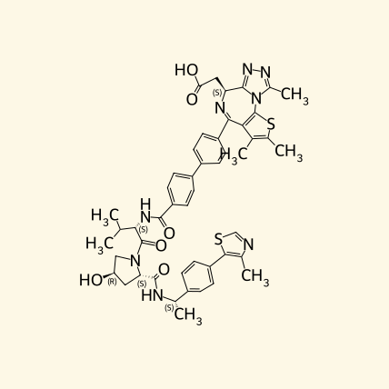 Cc1ncsc1-c1ccc([C@H](C)NC(=O)[C@@H]2C[C@@H](O)CN2C(=O)[C@@H](NC(=O)c2ccc(-c3ccc(C4=N[C@@H](CC(=O)O)c5nnc(C)n5-c5sc(C)c(C)c54)cc3)cc2)C(C)C)cc1